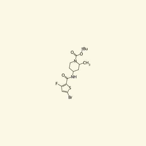 CC1CC(NC(=O)c2sc(Br)cc2F)CCN1C(=O)OC(C)(C)C